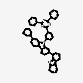 c1ccc(-c2ccc3c4ccc(-c5cccc6c5oc5ccccc56)cc4n(-c4cccc(-c5nc(-c6ccccc6)nc(-c6ccccc6)n5)c4)c3c2)cc1